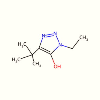 CCn1nnc(C(C)(C)C)c1O